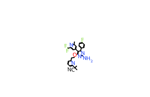 Cc1cc(-c2c(OCCc3cccc(C(C)(C)C#N)n3)nc(N)nc2-c2ccc(F)cc2)cc(C(F)F)n1